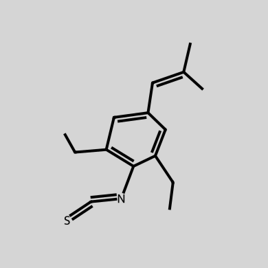 CCc1cc(C=C(C)C)cc(CC)c1N=C=S